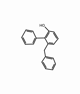 Oc1cccc(Cc2ccccc2)c1-c1ccccc1